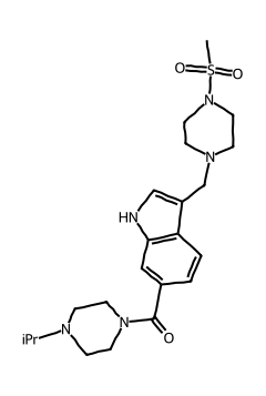 CC(C)N1CCN(C(=O)c2ccc3c(CN4CCN(S(C)(=O)=O)CC4)c[nH]c3c2)CC1